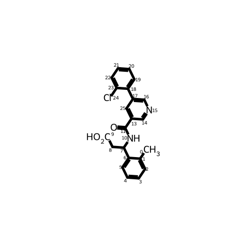 Cc1ccccc1C(CC(=O)O)NC(=O)c1cncc(-c2ccccc2Cl)c1